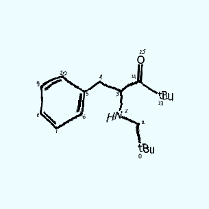 CC(C)(C)CNC(Cc1ccccc1)C(=O)C(C)(C)C